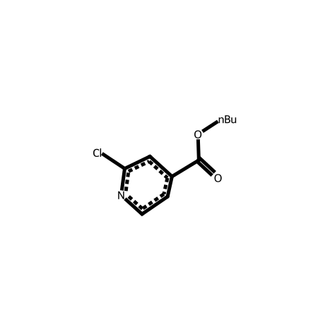 CCCCOC(=O)c1ccnc(Cl)c1